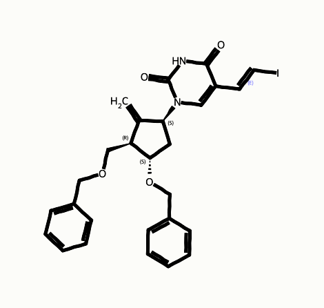 C=C1[C@H](COCc2ccccc2)[C@@H](OCc2ccccc2)C[C@@H]1n1cc(/C=C/I)c(=O)[nH]c1=O